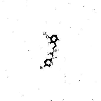 CCOc1ccc(F)c(CCNC(=S)Nc2ccc(Br)cn2)c1F